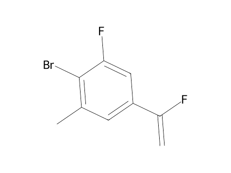 C=C(F)c1cc(C)c(Br)c(F)c1